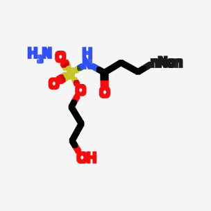 CCCCCCCCCCCC(=O)NS(=O)(=O)OCCCO.N